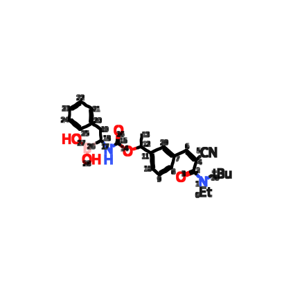 CCN(C(=O)C(C#N)=Cc1cccc(C(C)OC(=O)NC(Cc2ccccc2)B(O)O)c1)C(C)(C)C